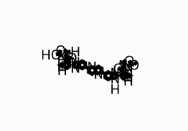 COC(=O)N[C@H](C(=O)N1[C@@H]2C[C@@H]2C[C@H]1c1nc2cc(-c3ccc4nc(-c5ccc6[nH]c([C@@H]7C[C@H]8C[C@H]8N7C(=O)[C@@H](NC(=O)O)C(C)C)nc6c5)ccc4n3)ccc2[nH]1)C(C)C